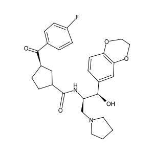 O=C(N[C@H](CN1CCCC1)[C@H](O)c1ccc2c(c1)OCCO2)C1CC[C@@H](C(=O)c2ccc(F)cc2)C1